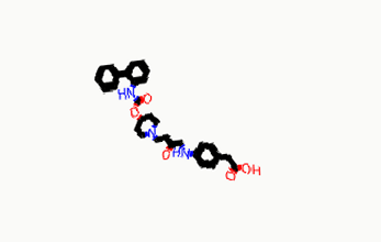 O=C(O)Cc1ccc(NCC(=O)CCN2CCC(OC(=O)Nc3ccccc3-c3ccccc3)CC2)cc1